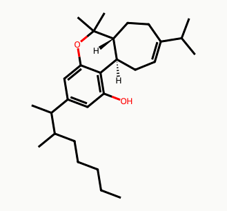 CCCCCC(C)C(C)c1cc(O)c2c(c1)OC(C)(C)[C@@H]1CCC(C(C)C)=CC[C@@H]21